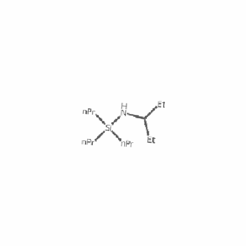 CCC[Si](CCC)(CCC)NC(CC)CC